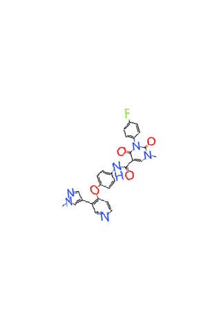 Cn1cc(-c2cnccc2Oc2ccc(NC(=O)c3cn(C)c(=O)n(-c4ccc(F)cc4)c3=O)cc2)cn1